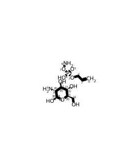 C=CCOP(=O)(O)ON.N[C@@H]1[C@@H](O)[C@H](O)[C@@H](CO)O[C@H]1O